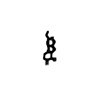 CCc1ncc2cc3n(c2n1)CCNC3=O